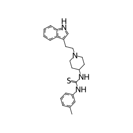 Cc1cccc(NC(=S)NC2CCN(CCc3c[nH]c4ccccc34)CC2)c1